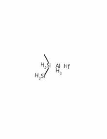 C[SiH2][SiH3].[AlH3].[Hf]